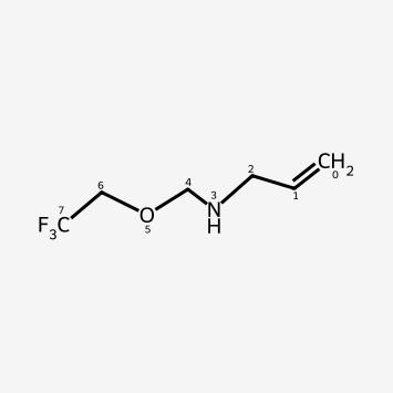 C=CCNCOCC(F)(F)F